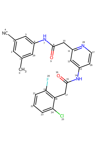 Cc1cc(C#N)cc(NC(=O)Cc2cc(NC(=O)Cc3c(F)cccc3Cl)ccn2)c1